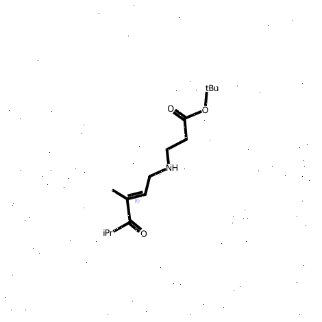 C/C(=C\CNCCC(=O)OC(C)(C)C)C(=O)C(C)C